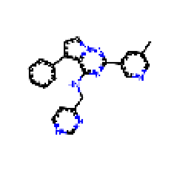 Cc1cncc(-c2nc(NCc3ccncn3)c3c(-c4ccccc4)ccn3n2)c1